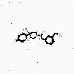 CCc1cccc(NC(=O)N2CCC(O)(c3ccc(C)cn3)CC2)c1